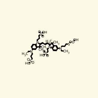 CCN(CCCSOOO)c1ccc2c(c1)C(C)(C)C(C=C/C=C1/N(CCCS(=O)(=O)O)c3ccc(N(CC)CCCS(=O)(=O)O)cc3C1(C)C)=[N+]2CCS(=O)(=O)O